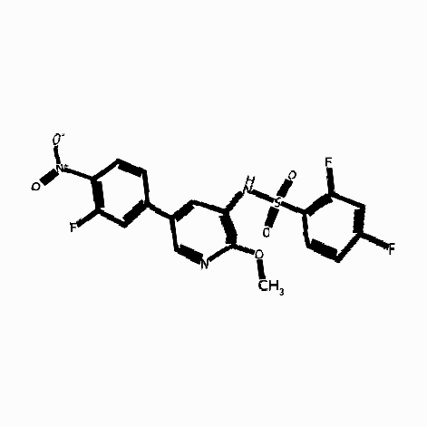 COc1ncc(-c2ccc([N+](=O)[O-])c(F)c2)cc1NS(=O)(=O)c1ccc(F)cc1F